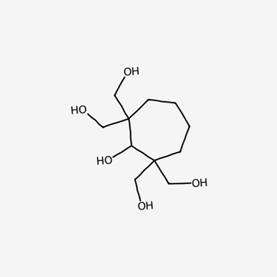 OCC1(CO)CCCCC(CO)(CO)C1O